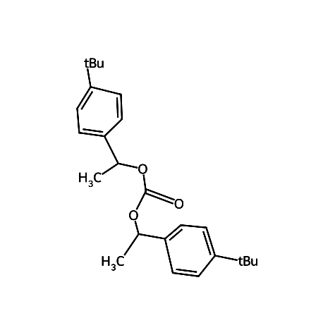 CC(OC(=O)OC(C)c1ccc(C(C)(C)C)cc1)c1ccc(C(C)(C)C)cc1